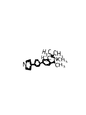 CC(c1ccc(-c2ccc(-c3ccncc3)cc2)cc1)N(C)C(C)(C)C